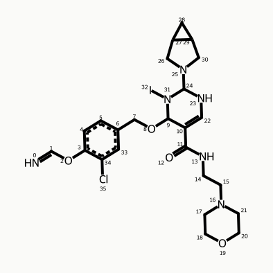 N=COc1ccc(COC2C(C(=O)NCCN3CCOCC3)=CNC(N3CC4CC4C3)N2I)cc1Cl